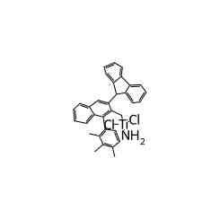 Cc1ccc(-c2c([CH2][Ti]([NH2])([Cl])[Cl])c(C3c4ccccc4-c4ccccc43)cc3ccccc23)c(C)c1C